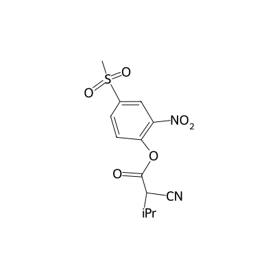 CC(C)C(C#N)C(=O)Oc1ccc(S(C)(=O)=O)cc1[N+](=O)[O-]